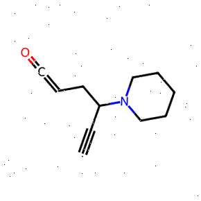 [C]#CC(CC=C=O)N1CCCCC1